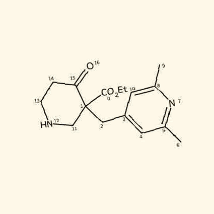 CCOC(=O)C1(Cc2cc(C)nc(C)c2)CNCCC1=O